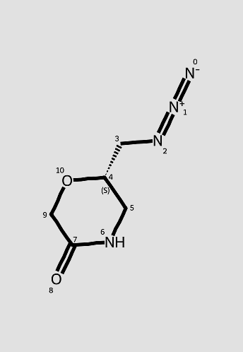 [N-]=[N+]=NC[C@@H]1CNC(=O)CO1